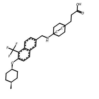 C[C@H]1CC[C@@H](Oc2ccc3cc(CNC45CCC(CCC(=O)O)(CC4)CC5)ccc3c2C(F)(F)F)CC1